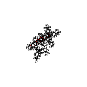 CC(C)(C)c1cc(N(c2cc(-c3ccccc3)nc(-n3c4ccc(C(C)(C)C)cc4c4cc(C(C)(C)C)ccc43)c2)c2c(-c3ccccc3)cccc2-c2ccccc2)cc(N(c2cc(-c3ccccc3)nc(-n3c4ccc(C(C)(C)C)cc4c4cc(C(C)(C)C)ccc43)c2)c2c(-c3ccccc3)cccc2-c2ccccc2)c1